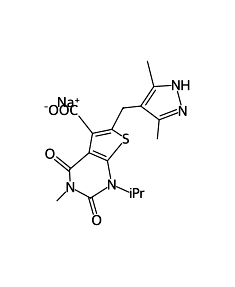 Cc1n[nH]c(C)c1Cc1sc2c(c1C(=O)[O-])c(=O)n(C)c(=O)n2C(C)C.[Na+]